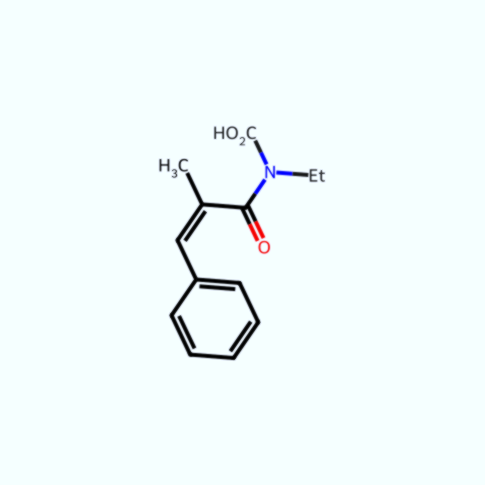 CCN(C(=O)O)C(=O)C(C)=Cc1ccccc1